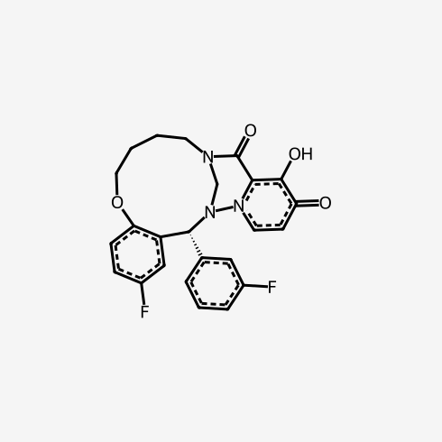 O=C1c2c(O)c(=O)ccn2N2CN1CCCCOc1ccc(F)cc1[C@H]2c1cccc(F)c1